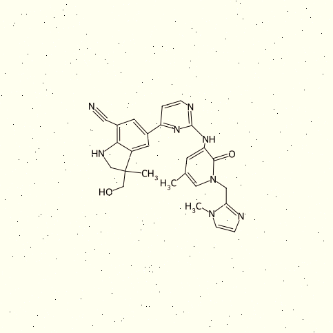 Cc1cc(Nc2nccc(-c3cc(C#N)c4c(c3)C(C)(CO)CN4)n2)c(=O)n(Cc2nccn2C)c1